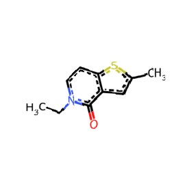 CCn1ccc2sc(C)cc2c1=O